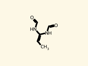 CC=C(NC=O)NC=O